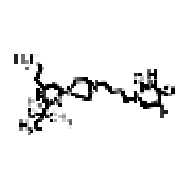 CCCc1cc(N2CCN(CCCCn3cc(F)c(=O)[nH]c3=O)CC2)nc(C(C)(C)C)n1